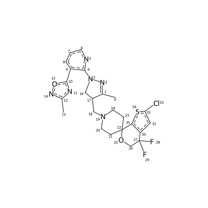 CC1=NN(c2ncccc2-c2nc(C)no2)CC1CN1CCC2(CC1)OCC(F)(F)c1cc(Cl)sc12